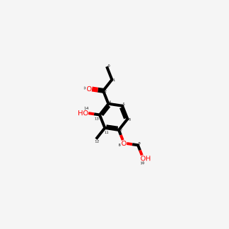 CCC(=O)c1ccc(OCO)c(C)c1O